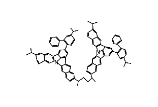 CC(C)c1ccc(-c2cc3c4cc5cc(C(C)C)ccc5cc4n4c5cc6ccc(C(C)CCC(C)c7ccc8cc9c(cc8c7)c7cc(-c8cc(C(C)C)ccc8-c8ccccc8)cc8c%10cc%11cc(C(C)C)ccc%11cc%10n9c87)cc6cc5c(c2)c34)c(-c2ccccc2)c1